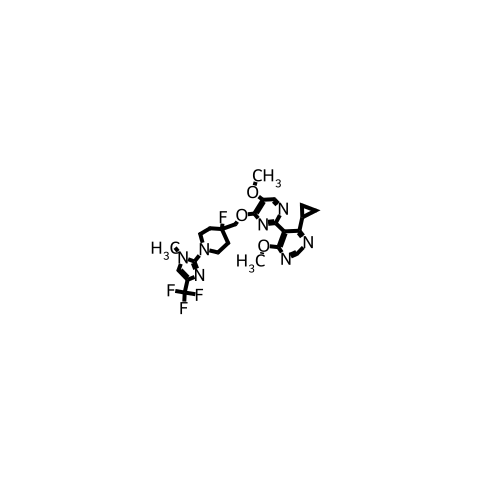 COc1cnc(-c2c(OC)ncnc2C2CC2)nc1OCC1(F)CCN(c2nc(C(F)(F)F)cn2C)CC1